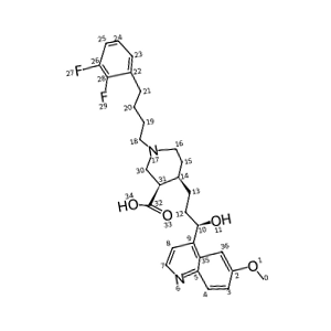 COc1ccc2nccc([C@H](O)CC[C@@H]3CCN(CCCCc4cccc(F)c4F)C[C@@H]3C(=O)O)c2c1